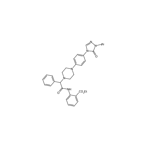 CCOC(=O)c1ccccc1NC(=O)C(c1ccccc1)N1CCN(c2ccc(-n3cnn(C(C)C)c3=O)cc2)CC1